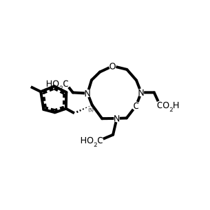 Cc1ccc(C[C@H]2CN(CC(=O)O)CCN(CC(=O)O)CCOCCN2CC(=O)O)cc1